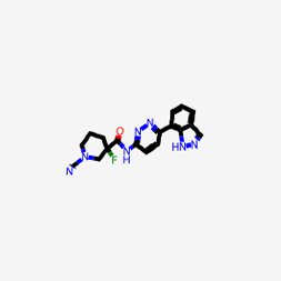 N#CN1CCCC(F)(C(=O)Nc2ccc(-c3cccc4cn[nH]c34)nn2)C1